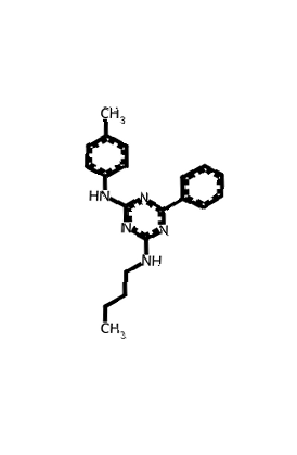 CCCCNc1nc(Nc2ccc(C)cc2)nc(-c2ccccc2)n1